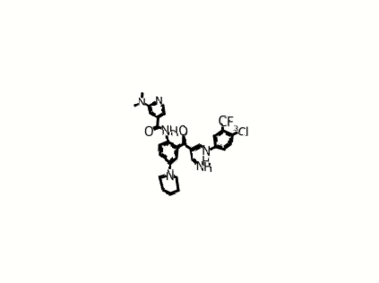 CN(C)c1cc(C(=O)Nc2ccc(N3CCCCC3)cc2C(=O)/C(C=N)=C/Nc2ccc(Cl)c(C(F)(F)F)c2)ccn1